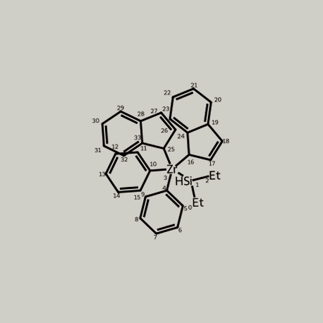 CC[SiH](CC)[Zr]([c]1ccccc1)([c]1ccccc1)([CH]1C=Cc2ccccc21)[CH]1C=Cc2ccccc21